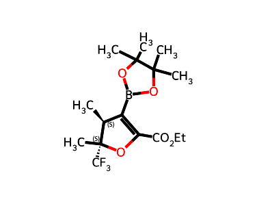 CCOC(=O)C1=C(B2OC(C)(C)C(C)(C)O2)[C@H](C)[C@@](C)(C(F)(F)F)O1